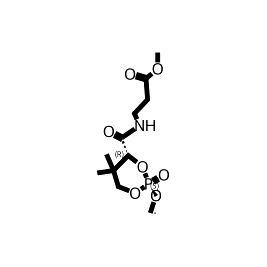 [CH2]O[P@@]1(=O)OCC(C)(C)[C@H](C(=O)NCCC(=O)OC)O1